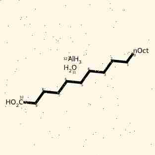 CCCCCCCCCCCCCCCCCC(=O)O.O.[AlH3]